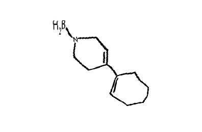 BN1CC=C(C2=CCCCC2)CC1